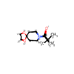 CC(C)(C)C(=O)N1CCC2(CC1)OCCO2